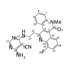 CNC(=O)c1c(-c2ccccc2)c(CCNc2ncnc(N)c2C#N)nc2c(F)cccc12